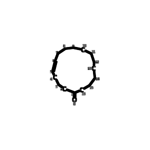 O=C1CCC/C=C\CCCCCCCCCC1